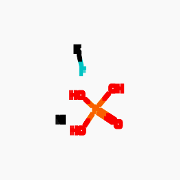 O=P(O)(O)O.[F][K].[Ni]